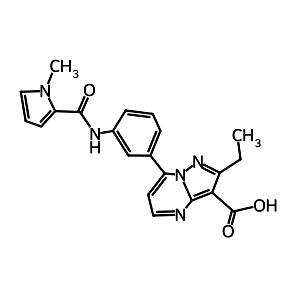 CCc1nn2c(-c3cccc(NC(=O)c4cccn4C)c3)ccnc2c1C(=O)O